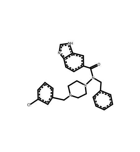 O=C(c1ccc2nc[nH]c2c1)N(Cc1ccccc1)N1CCN(Cc2cccc(Cl)c2)CC1